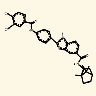 CC1(C)C2CCC1(C)C(NC(=O)c1ccc3[nH]c(-c4ccc(NC(=O)c5ccc(Cl)c(Cl)c5)cc4)nc3c1)C2